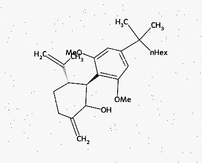 C=C1CC[C@H](C(=C)C)[C@@H](c2c(OC)cc(C(C)(C)CCCCCC)cc2OC)C1O